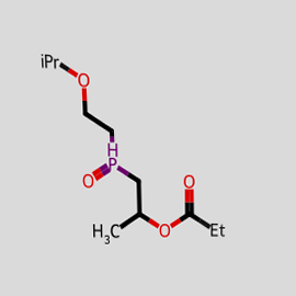 CCC(=O)OC(C)C[PH](=O)CCOC(C)C